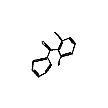 Cc1cccc(F)c1C(=O)c1ccccc1